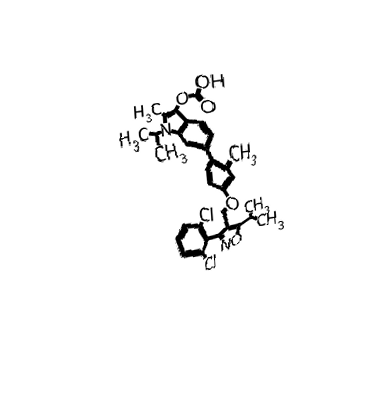 Cc1cc(OCc2c(-c3c(Cl)cccc3Cl)noc2C(C)C)ccc1-c1ccc2c(OC(=O)O)c(C)n(C(C)C)c2c1